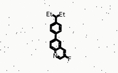 CCC(CC)c1ccc(-c2ccc3ncc(F)cc3c2)cc1